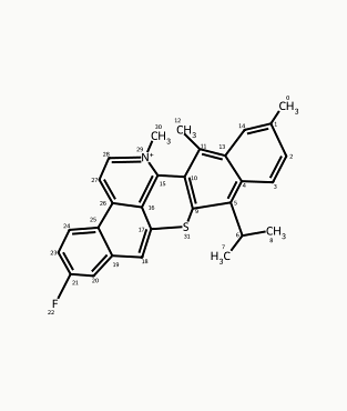 Cc1ccc2c(C(C)C)c3c(c(C)c2c1)-c1c2c(cc4cc(F)ccc4c2cc[n+]1C)S3